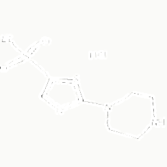 CCS(=O)(=O)c1cnc(N2CCNCC2)s1.Cl